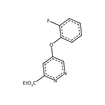 CCOC(=O)c1cc(Oc2ccccc2F)cnn1